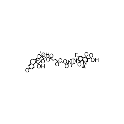 COc1c(N2CCN(C(=O)OCOC(=O)CCC(=O)OCC(=O)[C@@]3(O)[C@H](C)CC4C5CCC6=CC(=O)C=C[C@]6(C)[C@@]5(F)[C@@H](O)C[C@@]43C)C(C)C2)c(F)cc2c(=O)c(C(=O)O)cn(C3CC3)c12